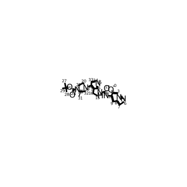 COc1cn2nccc2cc1NC(=O)N1CCc2c(N3CCN(C(=O)OC(C)(C)C)[C@H](C)C3)ccnc21